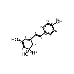 [2H]C1(O)C=C(O)C=C(C=Cc2ccc(O)cc2)C1